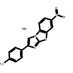 Br.Cc1ccc(-c2cn3c(n2)sc2cc([N+](=O)[O-])ccc23)cc1